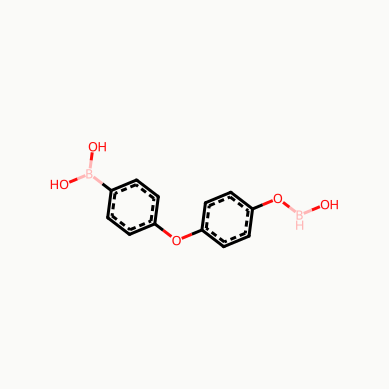 OBOc1ccc(Oc2ccc(B(O)O)cc2)cc1